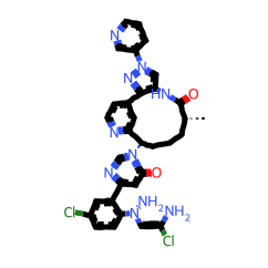 C[C@@H]1CCC[C@H](n2cnc(-c3cc(Cl)ccc3N(N)/C=C(\N)Cl)cc2=O)c2cc(ccn2)-c2nn(-c3cccnc3)cc2NC1=O